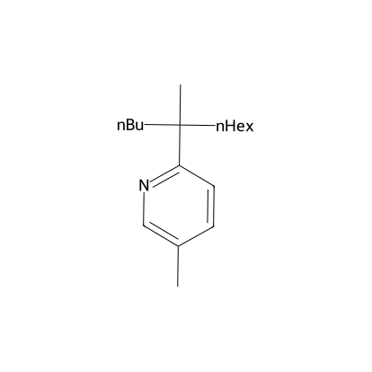 CCCCCCC(C)(CCCC)c1ccc(C)cn1